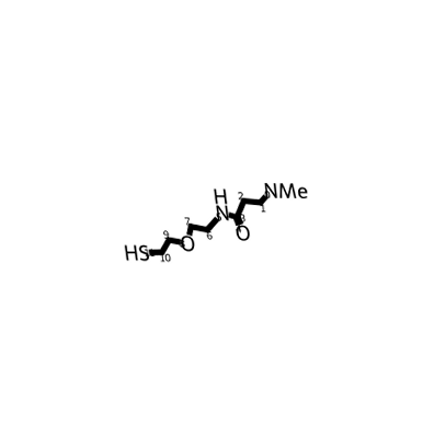 CNCCC(=O)NCCOCCS